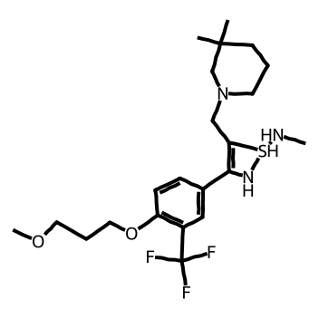 CN[SH]1NC(c2ccc(OCCCOC)c(C(F)(F)F)c2)=C1CN1CCCC(C)(C)C1